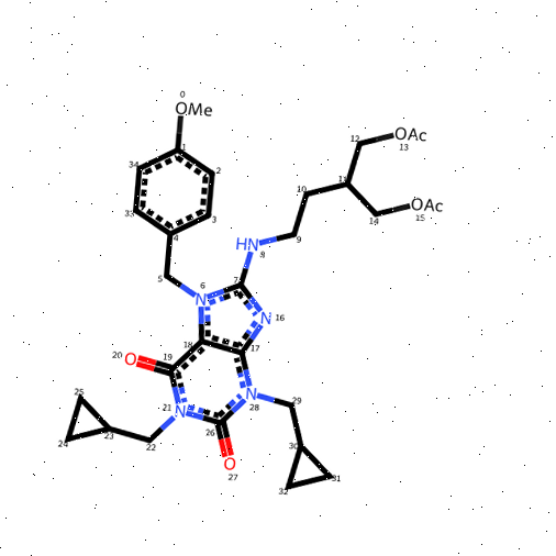 COc1ccc(Cn2c(NCCC(COC(C)=O)COC(C)=O)nc3c2c(=O)n(CC2CC2)c(=O)n3CC2CC2)cc1